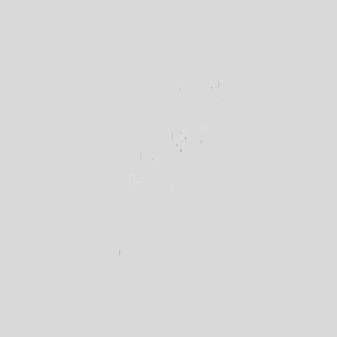 CC(C)c1ccc(COc2ccc(/C=N/NC(=O)c3ccc(O)c(Cl)c3)c(Cl)c2Cl)cc1